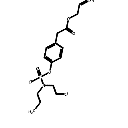 C=CCOC(=O)Cc1ccc(OP(=O)(Cl)N(CCC)CCCl)cc1